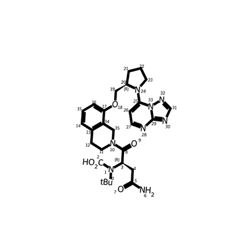 CC(C)(C)N(C(=O)O)[C@H](CC(N)=O)C(=O)N1CCc2cccc(OC[C@H]3CCCN3c3ccnc4ncnn34)c2C1